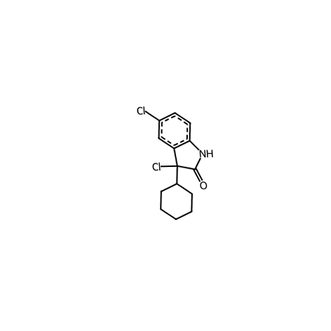 O=C1Nc2ccc(Cl)cc2C1(Cl)C1CCCCC1